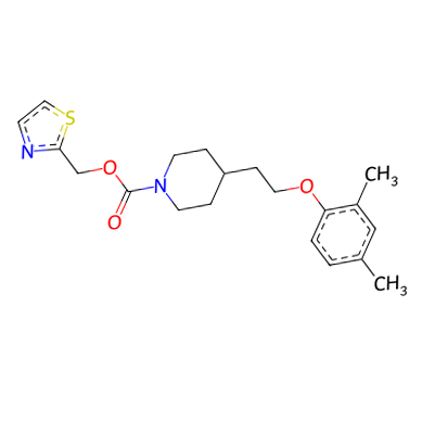 Cc1ccc(OCCC2CCN(C(=O)OCc3nccs3)CC2)c(C)c1